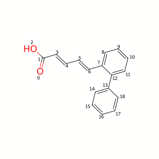 O=C(O)C=CC=Cc1ccccc1-c1ccccc1